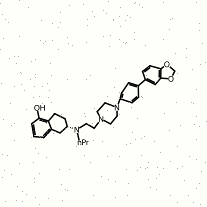 CCCN(CCN1CCN(c2ccc(-c3ccc4c(c3)OCO4)cc2)CC1)[C@H]1CCc2c(O)cccc2C1